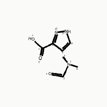 CN(C)C=O.O=C(O)c1cc[nH]n1